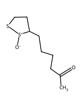 CC(=O)CCCCC1CCS[S+]1[O-]